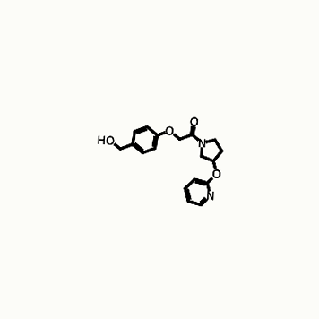 O=C(COc1ccc(CO)cc1)N1CCC(Oc2ccccn2)C1